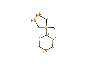 CS(CS)(CS)[C]1SCSCS1